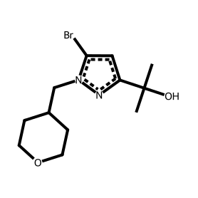 CC(C)(O)c1cc(Br)n(CC2CCOCC2)n1